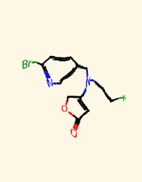 O=C1C=C(N(CCF)Cc2ccc(Br)nc2)CO1